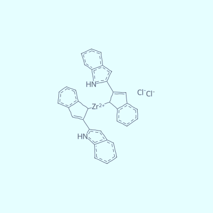 C1=C(c2cc3ccccc3[nH]2)[CH]([Zr+2][CH]2C(c3cc4ccccc4[nH]3)=Cc3ccccc32)c2ccccc21.[Cl-].[Cl-]